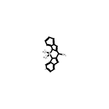 CC1C2=Cc3ccccc3[CH]2[Ti]([CH3])([CH3])[CH]2C1=Cc1ccccc12